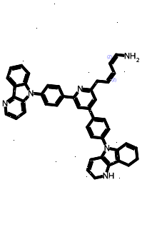 N/C=C\C=C/Cc1cc(-c2ccc(-n3c4c(c5c3C=CCN5)CCC=C4)cc2)cc(-c2ccc(-n3c4ccccc4c4ncccc43)cc2)n1